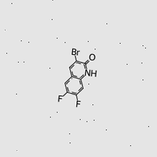 O=c1[nH]c2cc(F)c(F)cc2cc1Br